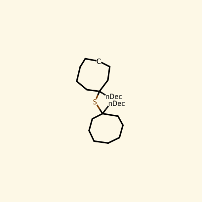 CCCCCCCCCCC1(SC2(CCCCCCCCCC)CCCCCCC2)CCCCCCC1